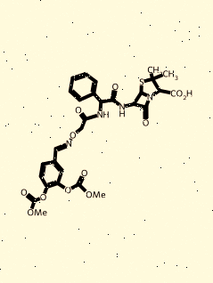 COC(=O)Oc1ccc(/C=N/OCC(=O)NC(C(=O)NC2C(=O)N3C2SC(C)(C)C3C(=O)O)c2ccccc2)cc1OC(=O)OC